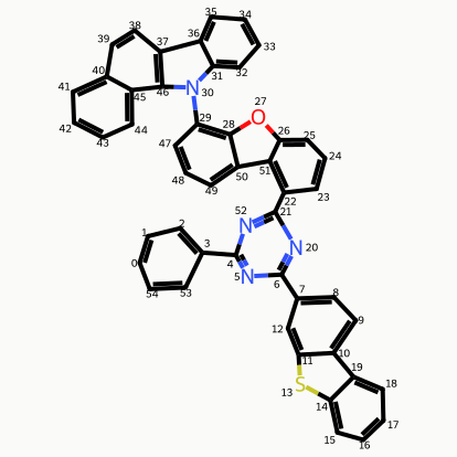 c1ccc(-c2nc(-c3ccc4c(c3)sc3ccccc34)nc(-c3cccc4oc5c(-n6c7ccccc7c7ccc8ccccc8c76)cccc5c34)n2)cc1